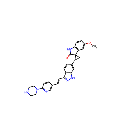 COc1ccc2c(c1)C1(C[C@H]1c1ccc3c(/C=C/c4ccc(N5CCNCC5)nc4)n[nH]c3c1)C(=O)N2